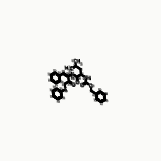 CC(C)CC(NC(=O)OCc1ccccc1)C(=O)NC(=Cc1ccccc1)C(=O)CSc1ccccc1